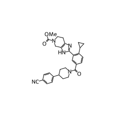 COC(=O)N1CCc2nc(-c3cc(C(=O)N4CCC(c5ccc(C#N)cc5)CC4)ccc3C3CC3)[nH]c2C1